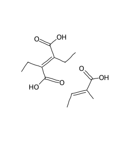 C/C=C(\C)C(=O)O.CC/C(C(=O)O)=C(/CC)C(=O)O